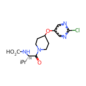 CC(C)[C@H](NC(=O)O)C(=O)N1CCC(Oc2cnc(Cl)nc2)CC1